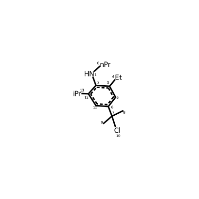 CCCNc1c(CC)cc(C(C)(C)Cl)cc1C(C)C